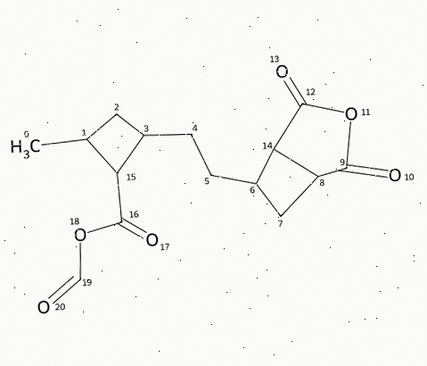 CC1CC(CCC2CC3C(=O)OC(=O)C23)C1C(=O)OC=O